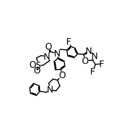 O=C(N1CCS(=O)(=O)CC1)N(Cc1ccc(-c2nnc(C(F)F)o2)cc1F)c1ccc(OC2CCN(Cc3ccccc3)CC2)cc1